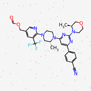 C[C@@H]1CN(c2ncc(COC=O)cc2C(F)(F)F)CCN1c1cc(-c2ccc(C#N)cc2)nc(N2CCOC[C@@H]2C)n1